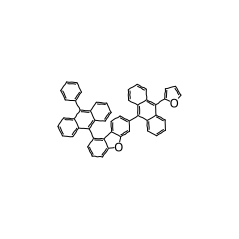 c1ccc(-c2c3ccccc3c(-c3cccc4oc5cc(-c6c7ccccc7c(-c7ccco7)c7ccccc67)ccc5c34)c3ccccc23)cc1